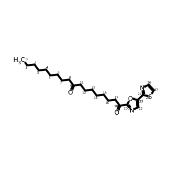 CCCCCCCCCC(=O)CCCCCCCC(=O)c1ncc(-c2nccs2)o1